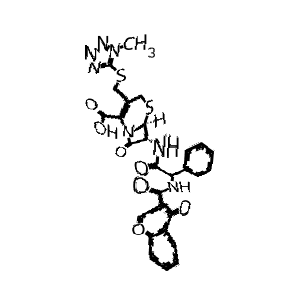 Cn1nnnc1SCC1=C(C(=O)O)N2C(=O)[C@@H](NC(=O)C(NC(=O)c3coc4ccccc4c3=O)c3ccccc3)[C@@H]2SC1